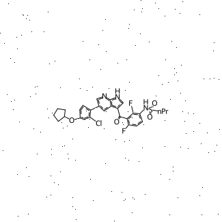 CCCS(=O)(=O)Nc1ccc(F)c(C(=O)c2c[nH]c3ncc(-c4ccc(OC5CCCC5)cc4Cl)cc23)c1F